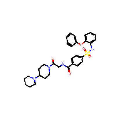 O=C(NCC(=O)N1CCC(N2CCCCC2)CC1)c1ccc(S(=O)(=O)Nc2ccccc2Oc2ccccc2)cc1